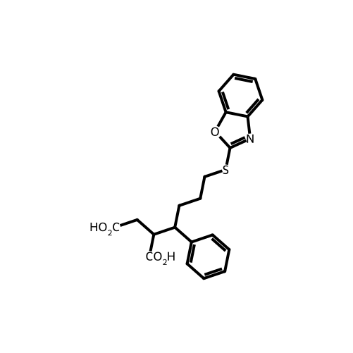 O=C(O)CC(C(=O)O)C(CCCSc1nc2ccccc2o1)c1ccccc1